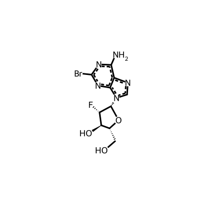 Nc1nc(Br)nc2c1ncn2[C@@H]1O[C@H](CO)[C@@H](O)[C@@H]1F